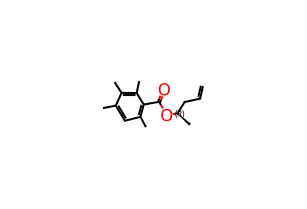 C=CC[C@@H](C)OC(=O)c1c(C)cc(C)c(C)c1C